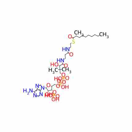 CCCCCCCC[C@@H](C)C(=O)SCCNC(=O)CCNC(=O)C(O)C(C)(C)COP(=O)(O)OP(=O)(O)OCC1OC(n2cnc3c(N)ncnc32)C(O)C1OP(=O)(O)O